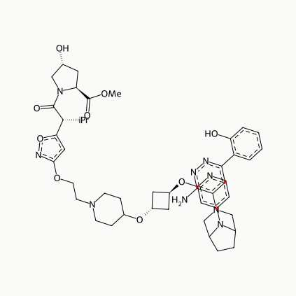 COC(=O)[C@@H]1C[C@@H](O)CN1C(=O)[C@@H](c1cc(OCCN2CCC(O[C@H]3C[C@H](Oc4cc(N5C6CCC5CN(c5cc(-c7ccccc7O)nnc5N)C6)ccn4)C3)CC2)no1)C(C)C